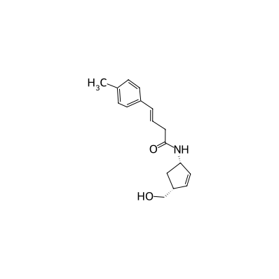 Cc1ccc(C=CCC(=O)N[C@@H]2C=C[C@H](CO)C2)cc1